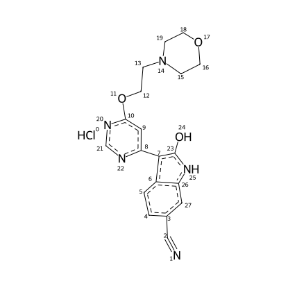 Cl.N#Cc1ccc2c(-c3cc(OCCN4CCOCC4)ncn3)c(O)[nH]c2c1